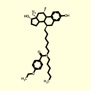 CCCCCCN(CCCCCC[C@@H]1Cc2cc(O)ccc2C2C1C1CC[C@H](O)[C@@]1(C)C[C@@H]2F)C(=O)c1ccc(OCC)cc1